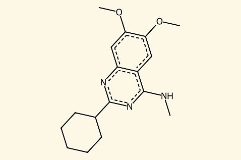 CNc1nc(C2CCCCC2)nc2cc(OC)c(OC)cc12